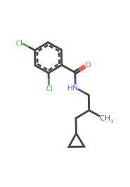 CC(CNC(=O)c1ccc(Cl)cc1Cl)CC1CC1